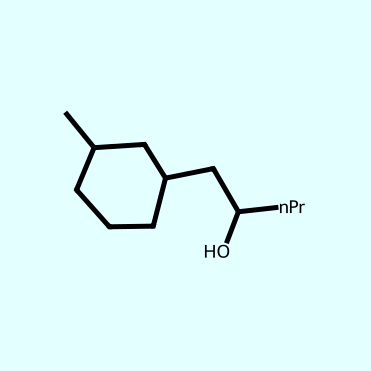 CCCC(O)CC1CCCC(C)C1